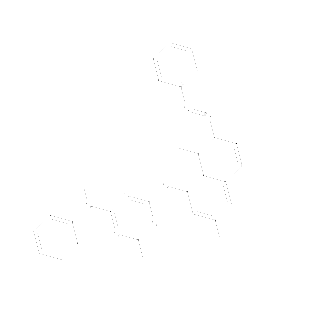 CCN(c1ccccc1)c1nc(Cl)nc(Nc2cc(S(=O)(=O)O)cc3cc(S(=O)(=O)O)c(N=Nc4ccccc4S(=O)(=O)O)c(O)c23)n1